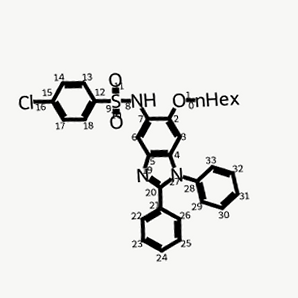 CCCCCCOc1cc2c(cc1NS(=O)(=O)c1ccc(Cl)cc1)nc(-c1ccccc1)n2-c1ccccc1